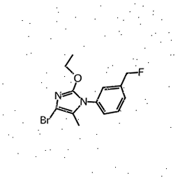 CCOc1nc(Br)c(C)n1-c1cccc(CF)c1